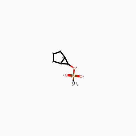 CS(=O)(=O)OC1C2CCCC21